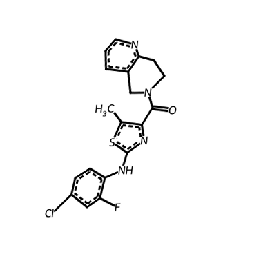 Cc1sc(Nc2ccc(Cl)cc2F)nc1C(=O)N1CCc2ncccc2C1